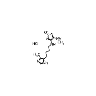 CNc1n[s+]([O-])nc1NCCSCc1[nH]cnc1C.Cl